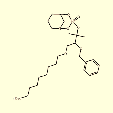 CCCCCCCCCCCCCCCCCCOCC(OCc1ccccc1)C(C)(C)OP1(=O)OC2CCCN(C2)O1